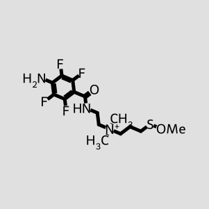 COSCCC[N+](C)(C)CCNC(=O)c1c(F)c(F)c(N)c(F)c1F